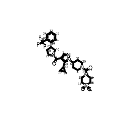 O=C(c1cnn(C2CCN(C(=O)N3CCS(=O)(=O)CC3)CC2)c1C1CC1)N1CC[C@@H](c2ccccc2C(F)(F)F)C1